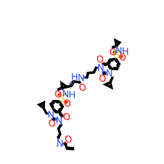 C=CC(=O)N(C)CCCCn1c(=O)c2cc(S(=O)(=O)NC3(C)CC3/C=C/C(=O)NCCCCn3c(=O)c4cc(S(=O)(=O)NC5(C)CC5)ccc4n(CC4CC4)c3=O)ccc2n(CC2CC2)c1=O